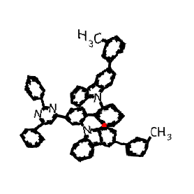 Cc1cccc(-c2ccc3c(c2)c2ccccc2n3-c2ccccc2-c2ccc(-c3cc(-c4ccccc4)nc(-c4ccccc4)n3)cc2-n2c3ccccc3c3cc(-c4cccc(C)c4)ccc32)c1